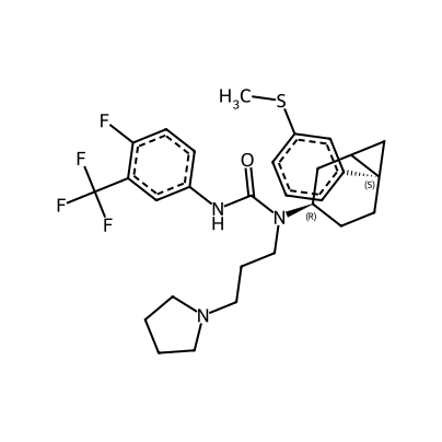 CSc1cccc([C@]23CC[C@@H](N(CCCN4CCCC4)C(=O)Nc4ccc(F)c(C(F)(F)F)c4)CC2C3)c1